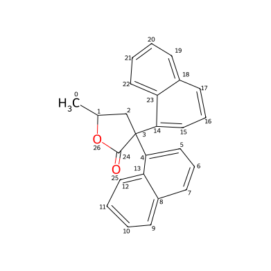 CC1CC(c2cccc3ccccc23)(c2cccc3ccccc23)C(=O)O1